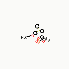 CC1(C)C2CCC1(CS(=O)(=O)[O-])C(=O)C2.CCCCOc1ccc([S+](c2ccccc2)c2ccccc2)cc1